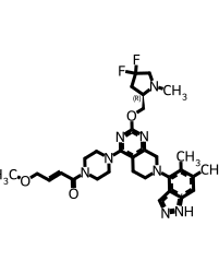 COCC=CC(=O)N1CCN(c2nc(OC[C@H]3CC(F)(F)CN3C)nc3c2CCN(c2c(C)c(C)cc4[nH]ncc24)C3)CC1